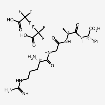 CC(C)[C@H](NC(=O)[C@H](C)NC(=O)CNC(=O)[C@@H](N)CCCNC(=N)N)C(=O)O.O=C(O)C(F)(F)F.O=C(O)C(F)(F)F